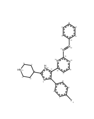 Fc1ccc(-c2nc(C3CCNCC3)[nH]c2-c2ccnc(N=Nc3ccccc3)n2)cc1